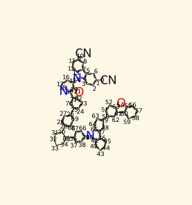 N#Cc1ccc2c(c1)c1cc(C#N)ccc1n2-c1ccnc2c1oc1ccc(-c3ccc(C4CCCC[C@@H]4c4ccc(-n5c6ccccc6c6cc(-c7ccc8oc9ccccc9c8c7)ccc65)cc4)cc3)cc12